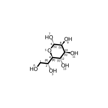 OC[C@@H](O)[C@H]1O[C@H](O)[C@@H](O)[C@@H](O)[C@@H]1O